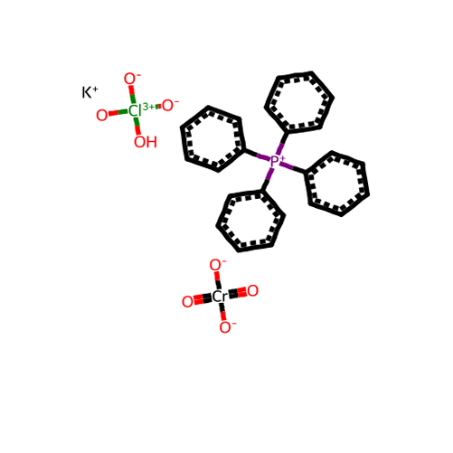 [K+].[O-][Cl+3]([O-])([O-])O.[O]=[Cr](=[O])([O-])[O-].c1ccc([P+](c2ccccc2)(c2ccccc2)c2ccccc2)cc1